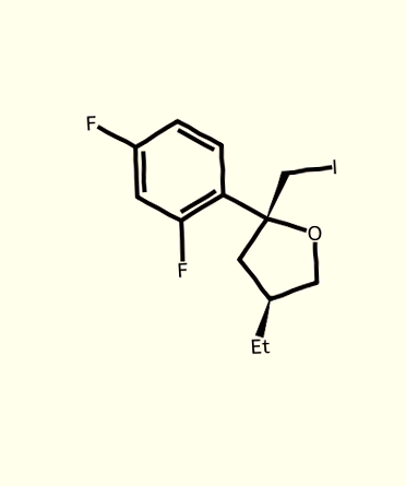 CC[C@@H]1CO[C@@](CI)(c2ccc(F)cc2F)C1